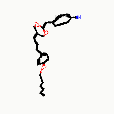 CCCCCCOc1ccc(CCCC2COC(Cc3ccc(C#N)cc3)OC2)cc1